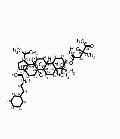 CC(C)[C@@H]1CC[C@]2(C(=O)NCCC3CCCCC3)CC[C@]3(C)[C@H](CC[C@@H]4[C@@]5(C)CC[C@H](OC(=O)CC(C)(C)C(=O)O)C(C)(C)[C@@H]5CC[C@]43C)[C@@H]12